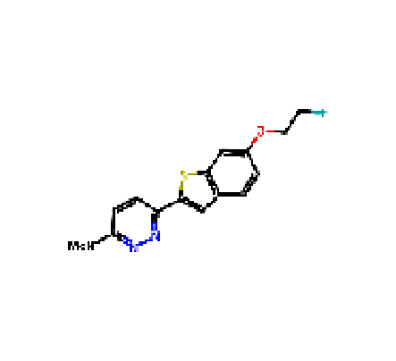 CNc1ccc(-c2cc3ccc(OCCF)cc3s2)nn1